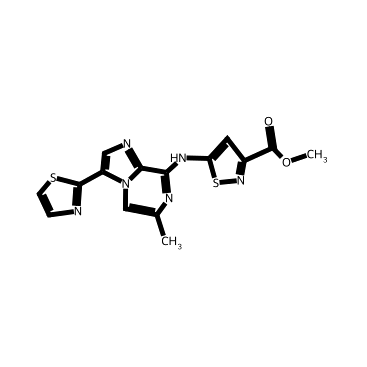 COC(=O)c1cc(Nc2nc(C)cn3c(-c4nccs4)cnc23)sn1